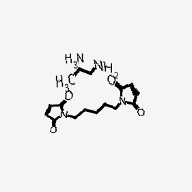 CCCN.N.O=C1C=CC(=O)N1CCCCCN1C(=O)C=CC1=O